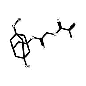 C=C(C)C(=O)OCC(=O)OC12CC3CC(O)(CC(OCC)(C3)C1)C2